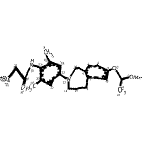 COC(Oc1ccc2c(c1)CCCN(c1cc(C)c(NC(=O)CC(C)(C)C)c(C)c1)C2)C(F)(F)F